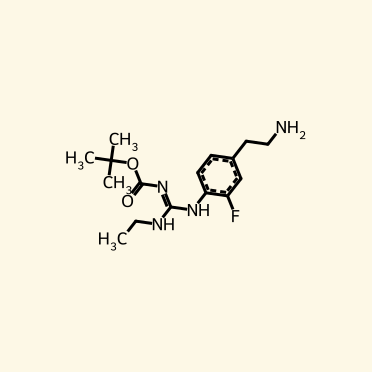 CCNC(=NC(=O)OC(C)(C)C)Nc1ccc(CCN)cc1F